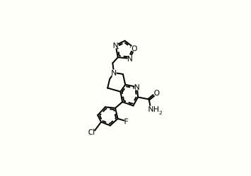 NC(=O)c1cc(-c2ccc(Cl)cc2F)c2c(n1)CN(Cc1ncon1)CC2